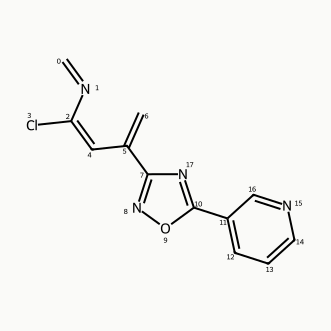 C=N/C(Cl)=C\C(=C)c1noc(-c2cccnc2)n1